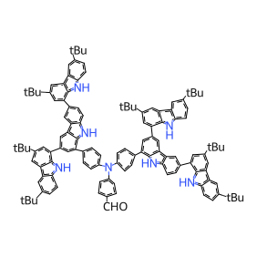 CC(C)(C)c1ccc2[nH]c3c(-c4ccc5[nH]c6c(-c7ccc(N(c8ccc(C=O)cc8)c8ccc(-c9cc(-c%10cc(C(C)(C)C)cc%11c%10[nH]c%10ccc(C(C)(C)C)cc%10%11)cc%10c9[nH]c9ccc(-c%11cc(C(C)(C)C)cc%12c%11[nH]c%11ccc(C(C)(C)C)cc%11%12)cc9%10)cc8)cc7)cc(-c7cc(C(C)(C)C)cc8c7[nH]c7ccc(C(C)(C)C)cc78)cc6c5c4)cc(C(C)(C)C)cc3c2c1